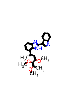 C=C(/C=C(OC)\C(OC)=C(/C)OC)c1cccc2nc(C3=CN=C4C=CC=CC34)[nH]c12